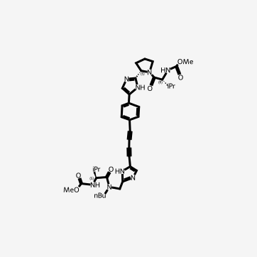 CCCCN(Cc1ncc(C#CC#Cc2ccc(-c3cnc([C@@H]4CCCN4C(=O)[C@H](NC(=O)OC)C(C)C)[nH]3)cc2)[nH]1)C(=O)[C@@H](NC(=O)OC)C(C)C